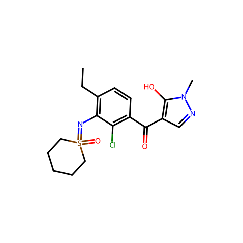 CCc1ccc(C(=O)c2cnn(C)c2O)c(Cl)c1N=S1(=O)CCCCC1